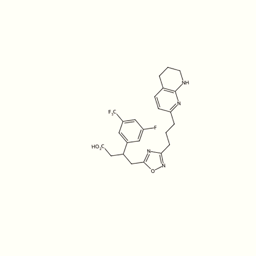 O=C(O)CC(Cc1nc(CCCc2ccc3c(n2)NCCC3)no1)c1cc(F)cc(C(F)(F)F)c1